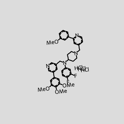 COc1cccc(-c2cc(CN3CCC(N(Cc4cncc(-c5cc(OC)c(OC)c(OC)c5)c4)c4ccc(F)c(F)c4)CC3)ccn2)c1.Cl.Cl.Cl